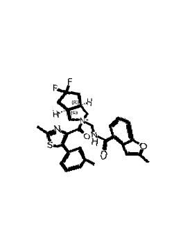 Cc1cccc(-c2sc(C)nc2C(=O)[N+]2(CNC(=O)c3cccc4oc(C)cc34)C[C@H]3CC(F)(F)C[C@H]3C2)c1